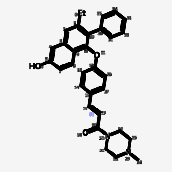 CCc1cc2cc(O)ccc2c(Oc2ccc(/C=C/C(=O)N3CCN(C)CC3)cc2)c1-c1ccccc1